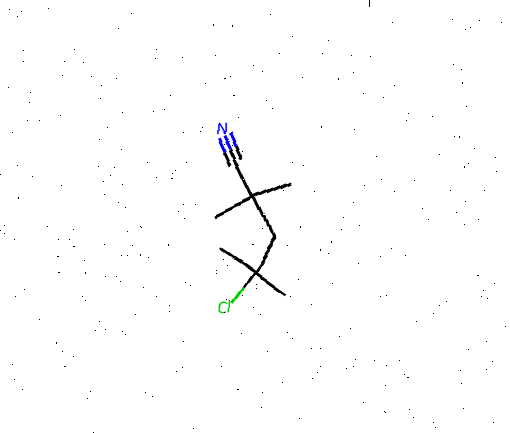 CC(C)(Cl)CC(C)(C)C#N